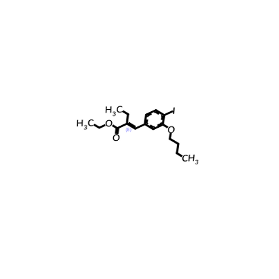 CCCCOc1cc(/C=C(\CC)C(=O)OCC)ccc1I